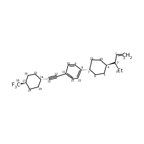 C=CC(CC)[C@H]1CC[C@H](c2ccc(C#C[C@H]3CC[C@H](C(F)(F)F)CC3)cc2)CC1